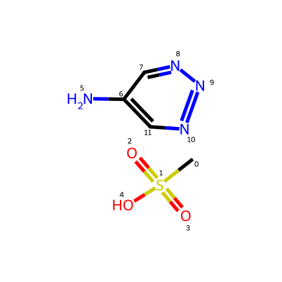 CS(=O)(=O)O.Nc1cnnnc1